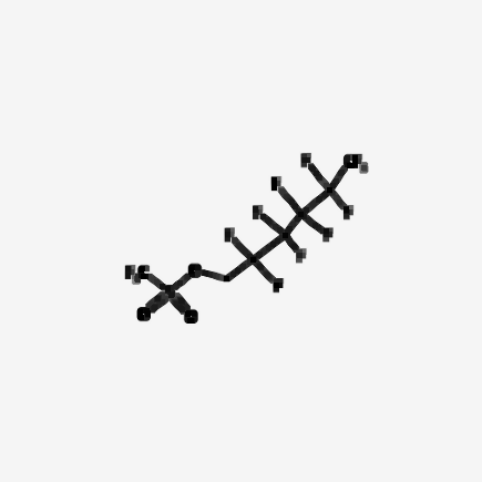 O=S(=O)(OCC(F)(F)C(F)(F)C(F)(F)C(F)(F)C(F)(F)F)C(F)(F)F